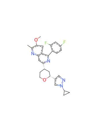 COc1cc2c(-c3ccc(F)cc3F)nc([C@H]3CCO[C@@H](c4cnn(C5CC5)c4)C3)cc2nc1C